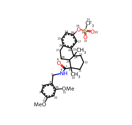 COc1ccc(CNC(=O)C2(C)CCCC3(C)c4cc(OS(=O)(=O)C(F)(F)F)ccc4CCC23)c(OC)c1